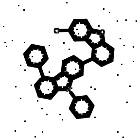 Clc1ccc2oc3cccc(-c4ccc5c6c(-c7ccccc7)cccc6n(-c6ccccc6)c5c4)c3c2c1